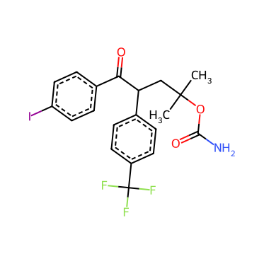 CC(C)(CC(C(=O)c1ccc(I)cc1)c1ccc(C(F)(F)F)cc1)OC(N)=O